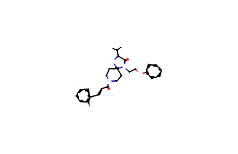 CC(C)C1NC2(CCN(C(=O)C=Cc3ccccc3Cl)CC2)N(CCOc2ccccc2)C1=O